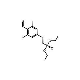 CCOP(=O)(/C=C/c1cc(C)c(C=O)c(C)c1)OCC